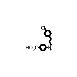 CN(CCCc1ccc(Cl)cc1)c1ccc(C(=O)O)cc1